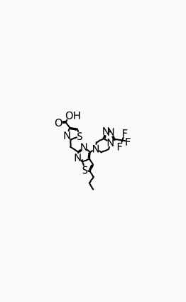 CCCc1cc2c(N3CCn4c(nnc4C(F)(F)F)C3)nc(Cc3nc(C(=O)O)cs3)nc2s1